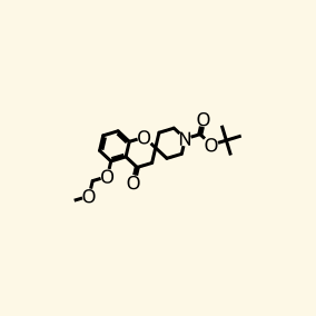 COCOc1cccc2c1C(=O)CC1(CCN(C(=O)OC(C)(C)C)CC1)O2